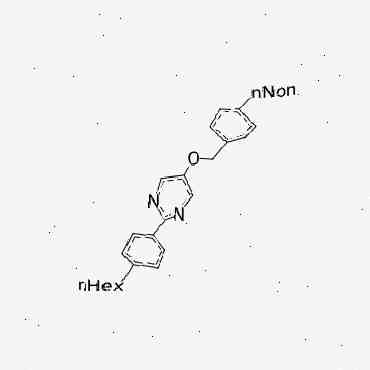 CCCCCCCCCc1ccc(COc2cnc(-c3ccc(CCCCCC)cc3)nc2)cc1